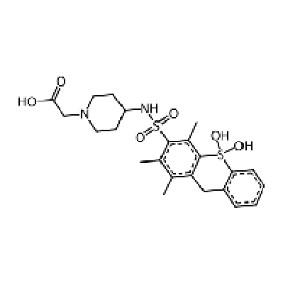 Cc1c(C)c(S(=O)(=O)NC2CCN(CC(=O)O)CC2)c(C)c2c1Cc1ccccc1S2(O)O